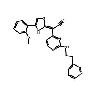 COc1ccccc1C1=CS/C(=C(\C#N)c2ccnc(NCCc3cccnc3)n2)N1